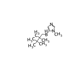 Cn1cncc1BCC(C)(C)C(C)(C)C